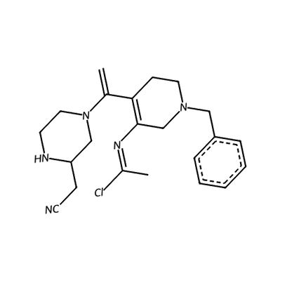 C=C(C1=C(/N=C(\C)Cl)CN(Cc2ccccc2)CC1)N1CCNC(CC#N)C1